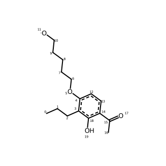 CCCc1c(OCCCCC[O])ccc(C(C)=O)c1O